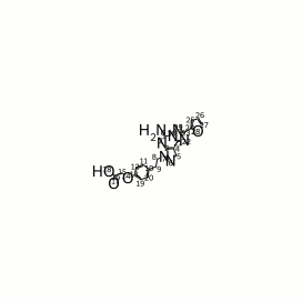 Nc1nc2c(cnn2CCc2ccc(OCC(=O)O)cc2)c2nc(-c3ccco3)nn12